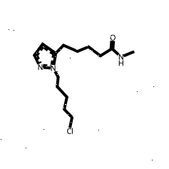 CNC(=O)CCCCc1ccnn1CCCCCCl